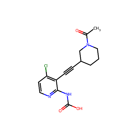 CC(=O)N1CCCC(C#Cc2c(Cl)ccnc2NC(=O)O)C1